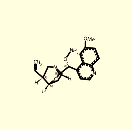 C=C[C@H]1CN2CC[C@H]1C[C@H]2[C@H](ON)c1ccnc2ccc(OC)cc12